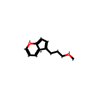 COCCCc1ccc2occcc1-2